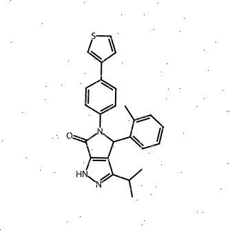 Cc1ccccc1C1c2c(C(C)C)n[nH]c2C(=O)N1c1ccc(-c2ccsc2)cc1